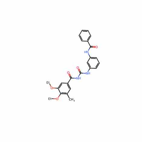 CCOc1cc(C(=O)NC(=O)Nc2cccc(NC(=O)c3ccccc3)c2)cc(C)c1OCC